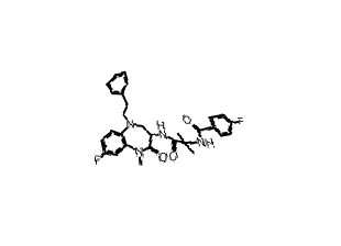 CN1C(=O)[C@H](NC(=O)C(C)(C)NC(=O)c2ccc(F)cc2)CN(CCc2ccccc2)c2ccc(F)cc21